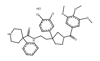 COc1cc(C(=O)N2CCC(CCNC(=O)C3(c4ccccc4)CCNCC3)(c3ccc(Cl)c(Cl)c3)C2)cc(OC)c1OC.Cl